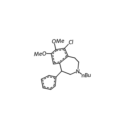 CCCCN1CCc2c(cc(OC)c(OC)c2Cl)C(c2ccccc2)C1